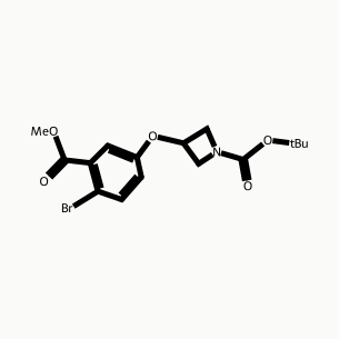 COC(=O)c1cc(OC2CN(C(=O)OC(C)(C)C)C2)ccc1Br